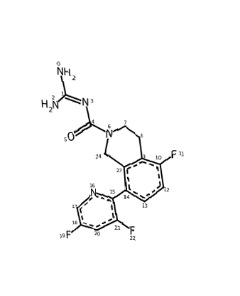 NC(N)=NC(=O)N1CCc2c(F)ccc(-c3ncc(F)cc3F)c2C1